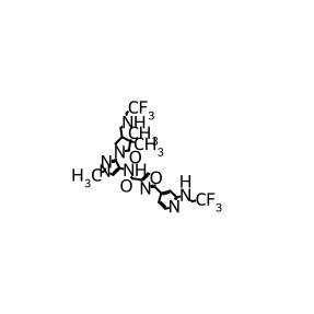 Cn1cc(NC(=O)c2coc(-c3ccnc(NCC(F)(F)F)c3)n2)c(N2CC(CNCC(F)(F)F)C(C)(C)C2=O)n1